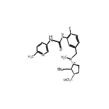 Cc1ccc(NC(=O)Nc2cc(CN(C)[C@@H]3CCN(C(=O)O)C3C(C)(C)C)ccc2F)cn1